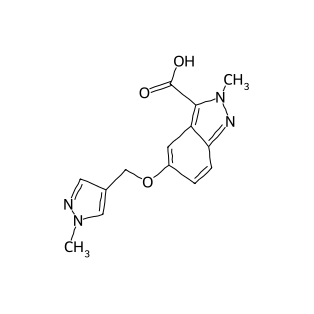 Cn1cc(COc2ccc3nn(C)c(C(=O)O)c3c2)cn1